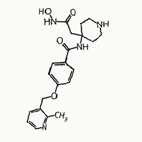 Cc1ncccc1COc1ccc(C(=O)NC2(CC(=O)NO)CCNCC2)cc1